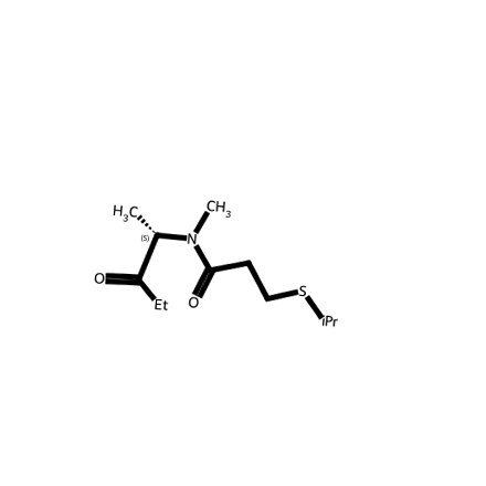 CCC(=O)[C@H](C)N(C)C(=O)CCSC(C)C